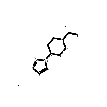 CCN1CCC(n2ccnn2)CC1